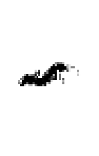 CC(C)(c1ccc(Oc2ccc(N)cc2)cc1)c1ccc(Oc2ccc(NC(=O)c3cccc(C=O)c3)cc2)cc1